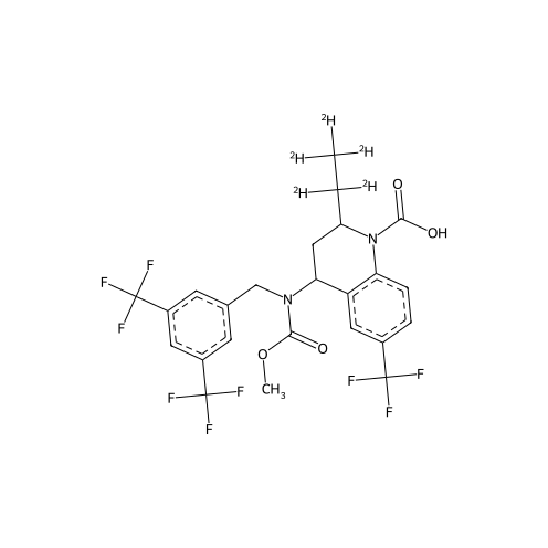 [2H]C([2H])([2H])C([2H])([2H])C1CC(N(Cc2cc(C(F)(F)F)cc(C(F)(F)F)c2)C(=O)OC)c2cc(C(F)(F)F)ccc2N1C(=O)O